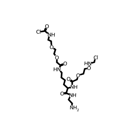 NCCNC(=O)C(CCCCNC(=O)COCCOCCNC(=O)Cl)NC(=O)COCCONCCl